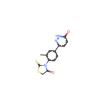 Cc1cc(-c2ccc(=O)[nH]n2)ccc1N1C(=O)CSC1=S